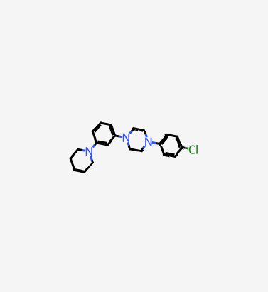 Clc1ccc(N2CCN(c3cccc(N4CCCCC4)c3)CC2)cc1